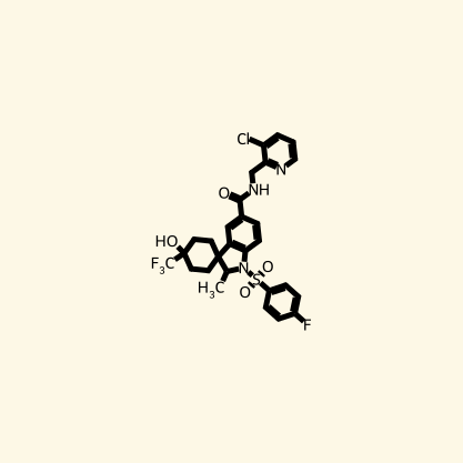 CC1N(S(=O)(=O)c2ccc(F)cc2)c2ccc(C(=O)NCc3ncccc3Cl)cc2C12CCC(O)(C(F)(F)F)CC2